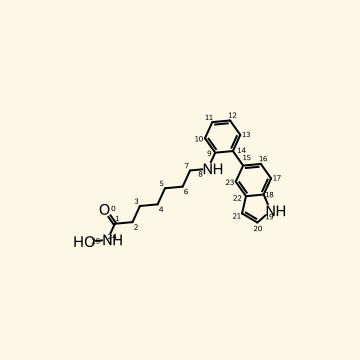 O=C(CCCCCCNc1ccccc1-c1ccc2[nH]ccc2c1)NO